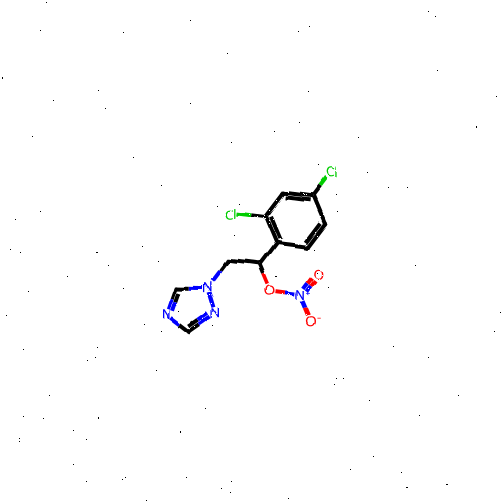 O=[N+]([O-])OC(Cn1cncn1)c1ccc(Cl)cc1Cl